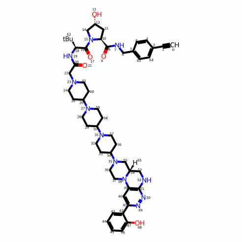 C#Cc1ccc(CNC(=O)[C@@H]2C[C@@H](O)CN2C(=O)[C@@H](NC(=O)CN2CCC(N3CCC(N4CCC(N5CCN6c7cc(-c8ccccc8O)nnc7NC[C@H]6C5)CC4)CC3)CC2)C(C)(C)C)cc1